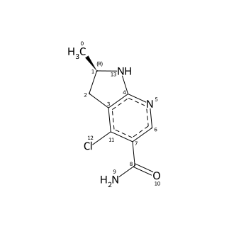 C[C@@H]1Cc2c(ncc(C(N)=O)c2Cl)N1